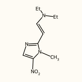 CCN(/C=C/c1ncc([N+](=O)[O-])n1C)CC